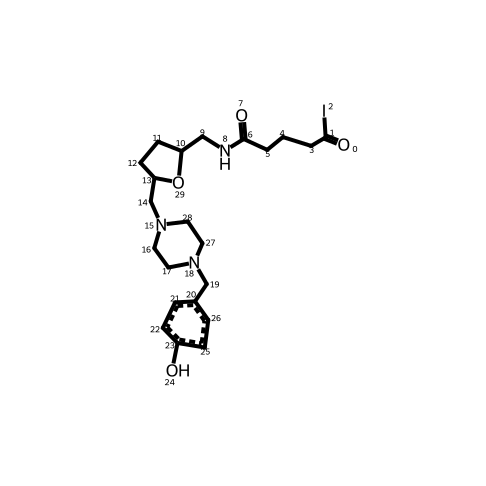 O=C(I)CCCC(=O)NCC1CCC(CN2CCN(Cc3ccc(O)cc3)CC2)O1